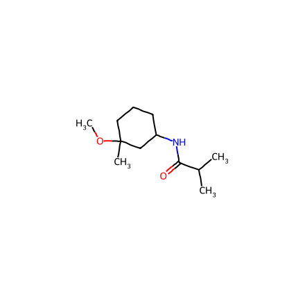 COC1(C)CCCC(NC(=O)C(C)C)C1